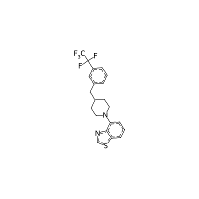 FC(F)(F)C(F)(F)c1cccc(CC2CCN(c3cccc4scnc34)CC2)c1